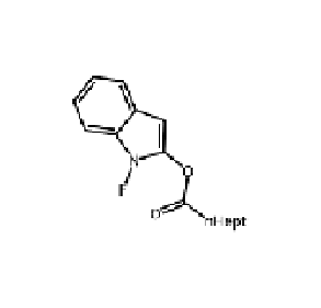 CCCCCCCC(=O)Oc1cc2ccccc2n1F